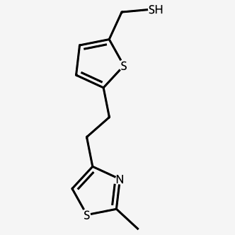 Cc1nc(CCc2ccc(CS)s2)cs1